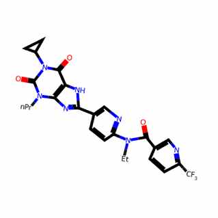 CCCn1c(=O)n(C2CC2)c(=O)c2[nH]c(-c3ccc(N(CC)C(=O)c4ccc(C(F)(F)F)nc4)nc3)nc21